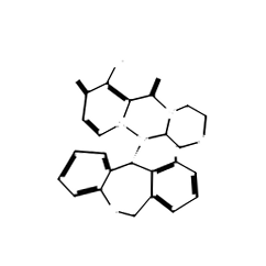 O=C1c2c(O)c(=O)ccn2N([C@@H]2c3ccccc3SCc3cccc(F)c32)C2COCCN12